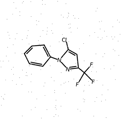 FC(F)(F)c1cc(Cl)n(-c2ccccc2)n1